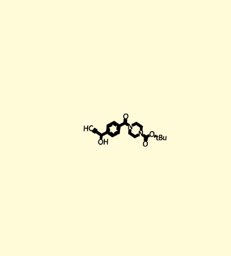 C#CC(O)c1ccc(C(=O)N2CCN(C(=O)OC(C)(C)C)CC2)cc1